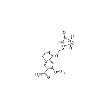 COc1cc2c(OCC[C@H]3NC(=O)[C@@H]4C[C@H]34)nccc2cc1C(N)=O